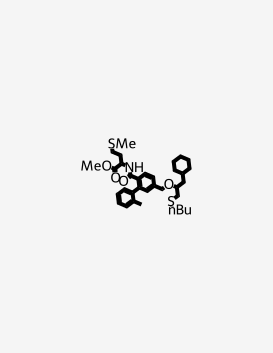 CCCCSCC(CC1CCCCC1)OCc1ccc(C(=O)NC(CCSC)C(=O)OC)c(-c2ccccc2C)c1